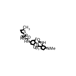 CNc1ccc2c(=O)n(-c3c(F)cc(NC(=O)NS(=O)(=O)c4ccc(C)s4)cc3C(F)(F)F)c(=O)[nH]c2c1